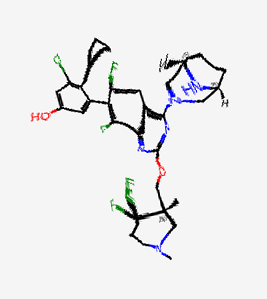 CN1CCC(F)(F)[C@](C)(COc2nc(N3C[C@H]4CC[C@@H](C3)N4)c3cc(F)c(-c4cc(O)cc(Cl)c4C4CC4)c(F)c3n2)C1